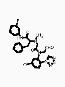 CN(CC(=O)N(CC=O)c1cc(Cl)ccc1-n1cnnn1)C(Cc1ccccc1)C(=O)Nc1cccc(F)c1